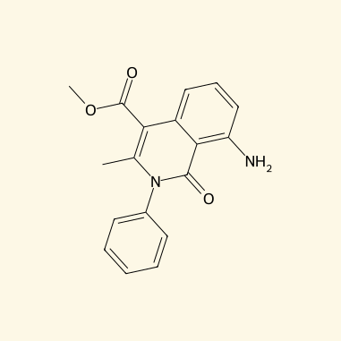 COC(=O)c1c(C)n(-c2ccccc2)c(=O)c2c(N)cccc12